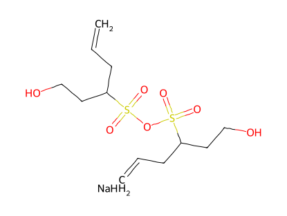 C=CCC(CCO)S(=O)(=O)OS(=O)(=O)C(CC=C)CCO.[NaH]